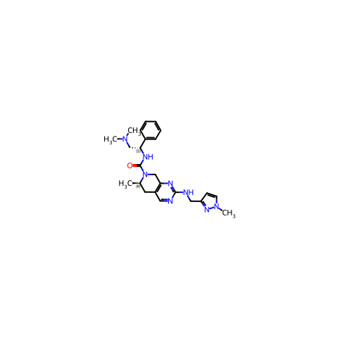 C[C@@H]1Cc2cnc(NCc3ccn(C)n3)nc2CN1C(=O)N[C@H](CN(C)C)c1ccccc1